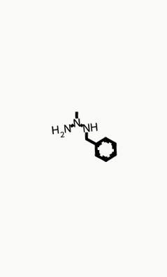 CN(N)NCc1ccccc1